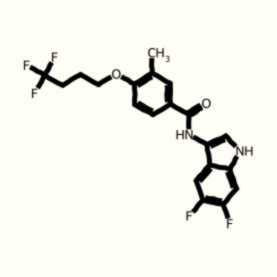 Cc1cc(C(=O)Nc2c[nH]c3cc(F)c(F)cc23)ccc1OCCCC(F)(F)F